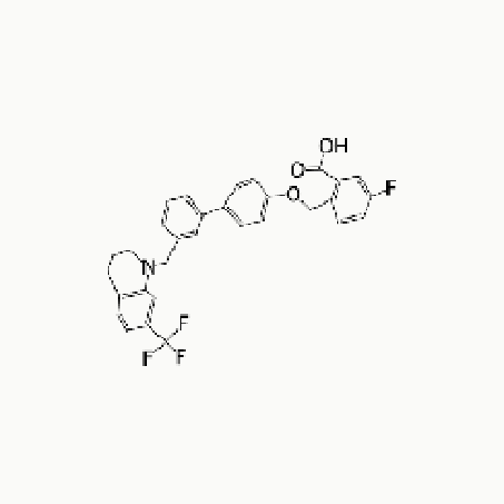 O=C(O)c1cc(F)ccc1COc1ccc(-c2cccc(CN3CCCc4ccc(C(F)(F)F)cc43)c2)cc1